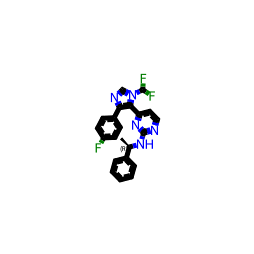 C[C@@H](Nc1nccc(-c2c(-c3ccc(F)cc3)ncn2C(F)F)n1)c1ccccc1